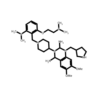 COc1cc2c(cc1OC)N(CC1CCNC1)C(N)N(C1CCN(Cc3c(OCCN(C)C)cccc3N(C)C)CC1)C2N